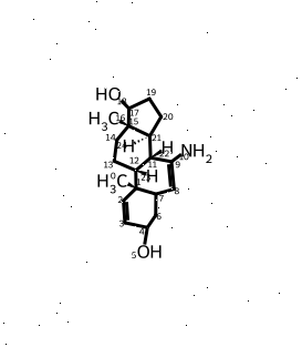 C[C@]12C=CC(O)CC1C=C(N)[C@@H]1[C@H]2CC[C@]2(C)C(O)CC[C@@H]12